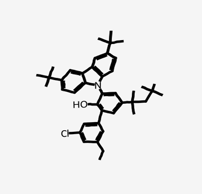 CCc1cc(Cl)cc(-c2cc(C(C)(C)CC(C)(C)C)cc(-n3c4ccc(C(C)(C)C)cc4c4cc(C(C)(C)C)ccc43)c2O)c1